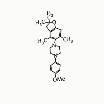 COc1ccc(N2CCN(c3c(C)[c]c4c(c3C)CC(C)(C)O4)CC2)cc1